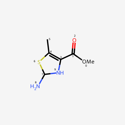 COC(=O)C1=C(C)SC(N)N1